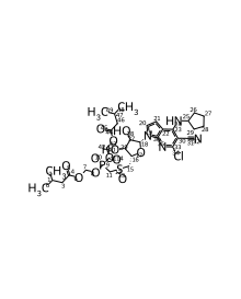 CC(C)CC(=O)OCOP(=O)(CS(=O)(=O)C[C@H]1O[C@@H](n2ccc3c(NC4CCCC4)c(C#N)c(Cl)nc32)[C@H](O)[C@@H]1O)OCOC(=O)CC(C)C